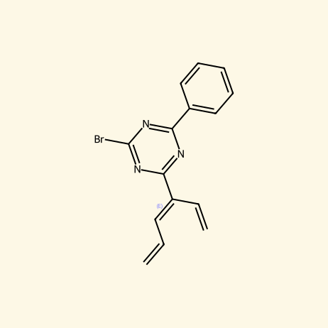 C=C/C=C(\C=C)c1nc(Br)nc(-c2ccccc2)n1